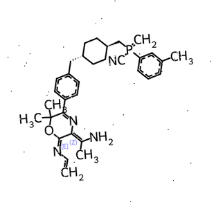 C=C/N=C1/OC(C)(C)C(c2ccc(C[C@H]3CC[C@H](CP(=C)(C#N)c4cccc(C)c4)CC3)cc2)=N/C1=C(/C)N